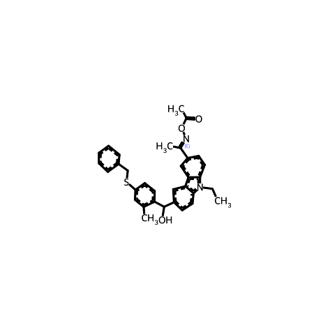 CCn1c2ccc(/C(C)=N/OC(C)=O)cc2c2cc(C(O)c3ccc(SCc4ccccc4)cc3C)ccc21